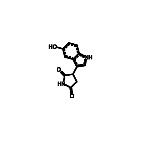 O=C1CC(c2c[nH]c3ccc(O)cc23)C(=O)N1